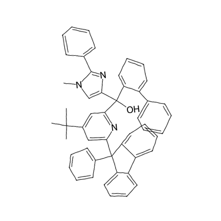 Cn1cc(C(O)(c2cc(C(C)(C)C)cc(C3(c4ccccc4)c4ccccc4-c4ccccc43)n2)c2ccccc2-c2ccccc2)nc1-c1ccccc1